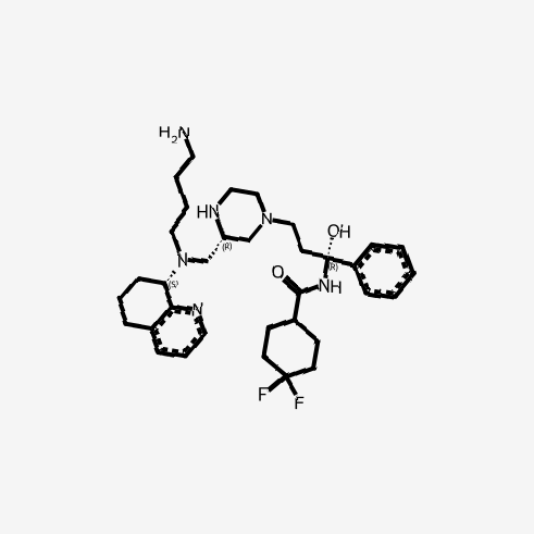 NCCCCN(C[C@H]1CN(CC[C@](O)(NC(=O)C2CCC(F)(F)CC2)c2ccccc2)CCN1)[C@H]1CCCc2cccnc21